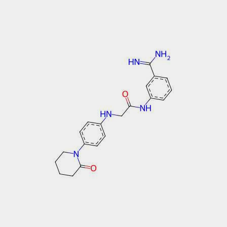 N=C(N)c1cccc(NC(=O)CNc2ccc(N3CCCCC3=O)cc2)c1